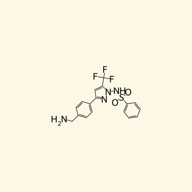 NCc1ccc(-c2cc(C(F)(F)F)n(NS(=O)(=O)c3ccccc3)n2)cc1